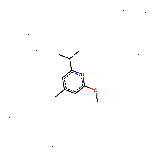 COc1cc(C)cc(C(C)C)n1